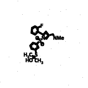 CNCc1cc(-c2ccccc2F)n(S(=O)(=O)c2cccc(SC(C)(C)O)c2)c1